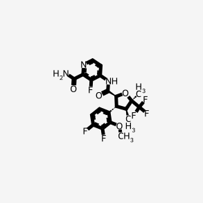 COc1c([C@@H]2[C@@H](C(=O)Nc3ccnc(C(N)=O)c3F)O[C@@](C)(C(F)(F)F)[C@H]2C)ccc(F)c1F